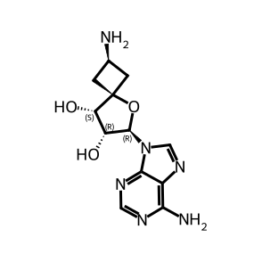 Nc1ncnc2c1ncn2[C@@H]1O[C@]2(C[C@@H](N)C2)[C@@H](O)[C@H]1O